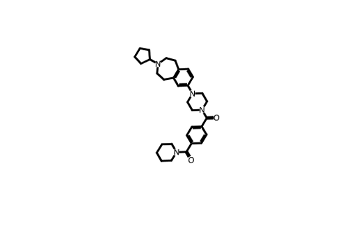 O=C(c1ccc(C(=O)N2CCN(c3ccc4c(c3)CCN(C3CCCC3)CC4)CC2)cc1)N1CCCCC1